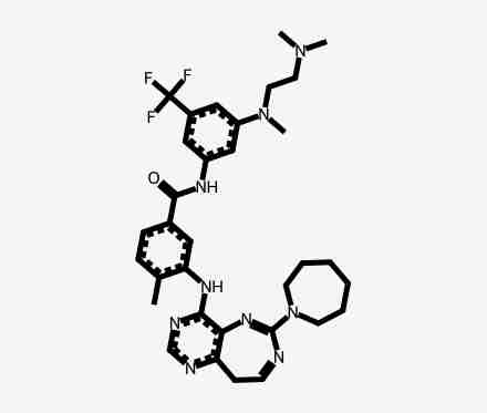 Cc1ccc(C(=O)Nc2cc(N(C)CCN(C)C)cc(C(F)(F)F)c2)cc1Nc1ncnc2c1N=C(N1CCCCCC1)N=CC2